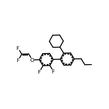 CCCc1ccc(-c2ccc(OC=C(F)F)c(F)c2F)c(C2CCCCC2)c1